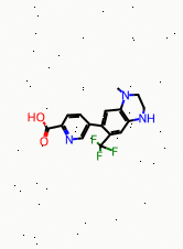 CN1CCNc2cc(C(F)(F)F)c(-c3ccc(C(=O)O)nc3)cc21